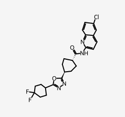 O=C(Nc1ccc2cc(Cl)ccc2n1)[C@H]1CC[C@H](c2nnc(C3CCC(F)(F)CC3)o2)CC1